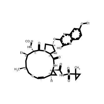 CCOc1ccc2nc(O)c(O[C@@H]3C[C@H]4C(=O)N[C@]5(C(=O)NS(=O)(=O)C6(C)CC6)C[C@H]5/C=C\CC[C@@H](C)C[C@@H](CC)[C@H](NC(=O)O)C(=O)N4C3)nc2c1